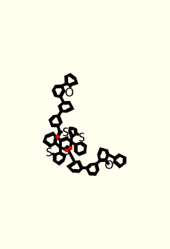 c1cc(-c2cccc(-c3cccc4c3oc3ccccc34)c2)cc(-c2cc3c(s2)C2(c4ccccc4Sc4ccccc42)c2cc(-c4cccc(-c5cccc(-c6cccc7c6oc6ccccc67)c5)c4)sc2C32c3ccccc3Sc3ccccc32)c1